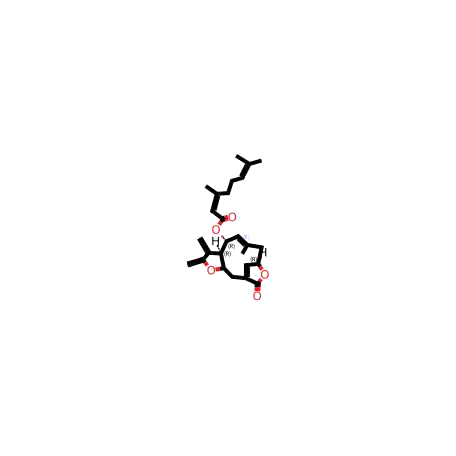 C=C1OC2CC3=C[C@@H](C/C(C)=C/[C@@H](OC(=O)C=C(C)CCC=C(C)C)[C@@H]2C1=C)OC3=O